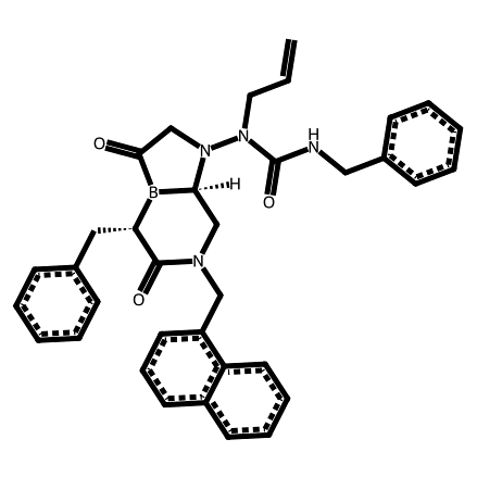 C=CCN(C(=O)NCc1ccccc1)N1CC(=O)B2[C@@H](Cc3ccccc3)C(=O)N(Cc3cccc4ccccc34)C[C@@H]21